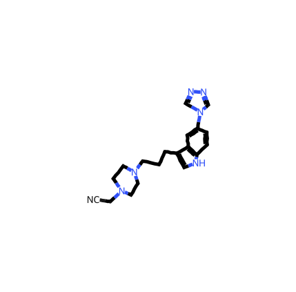 N#CCN1CCN(CCCc2c[nH]c3ccc(-n4cnnc4)cc23)CC1